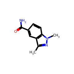 Cc1nn(C)c2ccc(C(N)=O)cc12